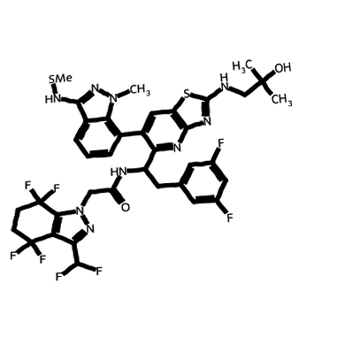 CSNc1nn(C)c2c(-c3cc4sc(NCC(C)(C)O)nc4nc3C(Cc3cc(F)cc(F)c3)NC(=O)Cn3nc(C(F)F)c4c3C(F)(F)CCC4(F)F)cccc12